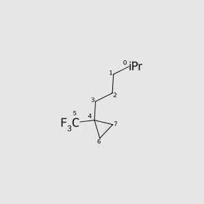 CC(C)CCCC1(C(F)(F)F)CC1